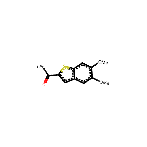 CCCC(=O)c1cc2cc(OC)c(OC)cc2s1